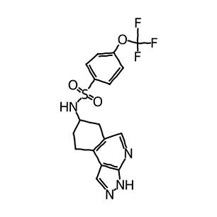 O=S(=O)(NC1CCc2c(cnc3[nH]ncc23)C1)c1ccc(OC(F)(F)F)cc1